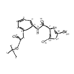 CC(C)(C)OC(=O)Cc1ccccc1NC(=O)c1nc(Br)sc1Cl